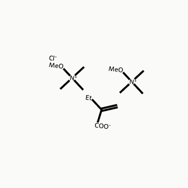 C=C(CC)C(=O)[O-].CO[N+](C)(C)C.CO[N+](C)(C)C.[Cl-]